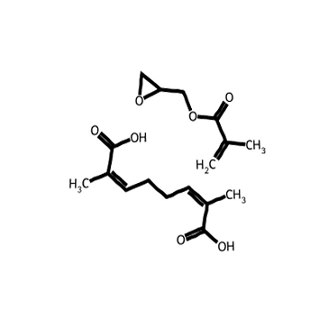 C=C(C)C(=O)OCC1CO1.CC(=CCCC=C(C)C(=O)O)C(=O)O